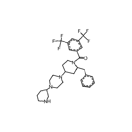 O=C(c1cc(C(F)(F)F)cc(C(F)(F)F)c1)N1CCC(N2CCN(C3CCCNC3)CC2)CC1Cc1ccccc1